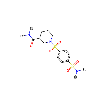 CCN(CC)C(=O)C1CCCN(S(=O)(=O)c2ccc(S(=O)(=O)N(CC)CC)cc2)C1